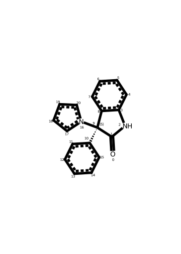 O=C1Nc2ccccc2[C@]1(c1ccccc1)n1cccc1